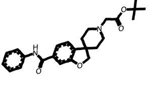 CC(C)(C)OC(=O)CN1CCC2(CC1)COc1cc(C(=O)Nc3ccccc3)ccc12